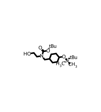 CC(C)(C)OC(=O)N(CCO)CC1CCC(O[Si](C)(C)C(C)(C)C)CC1